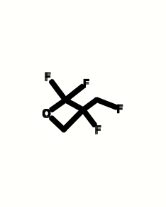 FCC1(F)COC1(F)F